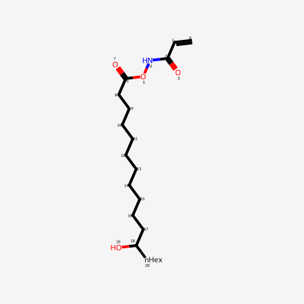 C=CC(=O)NOC(=O)CCCCCCCCCCC(O)CCCCCC